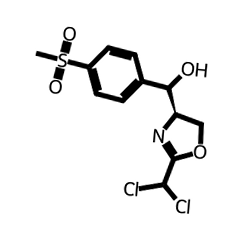 CS(=O)(=O)c1ccc(C(O)[C@H]2COC(C(Cl)Cl)=N2)cc1